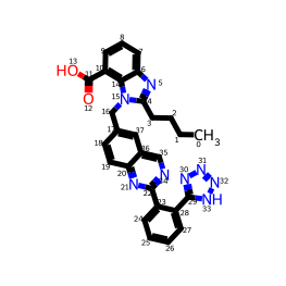 CCCCc1nc2cccc(C(=O)O)c2n1Cc1ccc2nc(-c3ccccc3-c3nnn[nH]3)ncc2c1